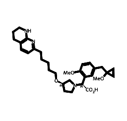 COc1ccc(CC2(OC)CC2)cc1[C@H](C(=O)O)N1CC[C@@H](OCCCCCc2ccc3c(n2)NCCC3)C1